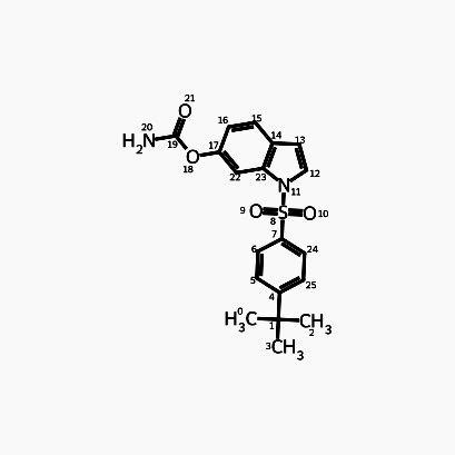 CC(C)(C)c1ccc(S(=O)(=O)n2ccc3ccc(OC(N)=O)cc32)cc1